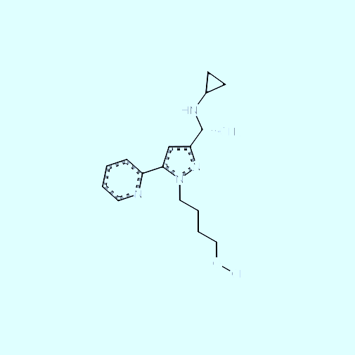 COCCCCn1nc([C@@H](C)NC2CC2)cc1-c1ccccn1